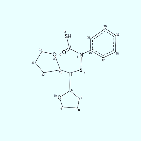 O=C(S)N(SC(C1CCCO1)C1CCCO1)c1ccccc1